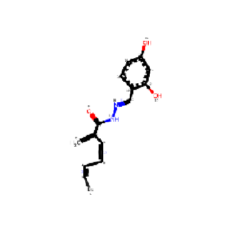 C=C(/C=C\C=C/CC)C(=O)N/N=C/c1ccc(O)cc1O